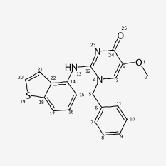 COc1cn(Cc2ccccc2)c(Nc2cccc3sccc23)nc1=O